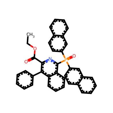 CCOC(=O)c1nc(P(=O)(c2ccc3ccccc3c2)c2ccc3ccccc3c2)c2ccccc2c1-c1ccccc1